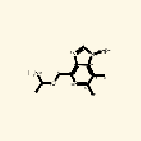 CC[CH]n1cnc2c(COC(C)N)nc(C)c(C)c21